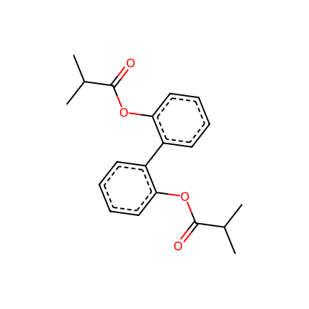 CC(C)C(=O)Oc1ccccc1-c1ccccc1OC(=O)C(C)C